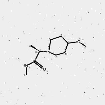 CNC(=O)[C@@H](C)N1CCC(OC)CC1